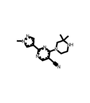 Cn1cc(-c2ncc(C#N)c(N3CCNC(C)(C)C3)n2)cn1